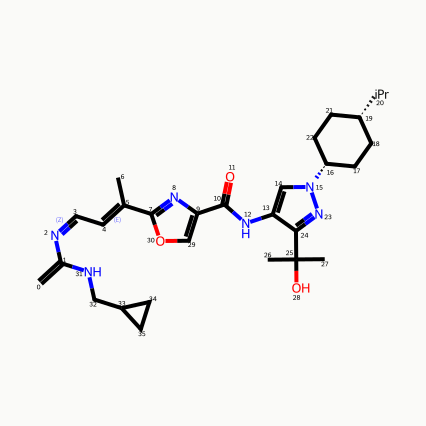 C=C(/N=C\C=C(/C)c1nc(C(=O)Nc2cn([C@H]3CC[C@@H](C(C)C)CC3)nc2C(C)(C)O)co1)NCC1CC1